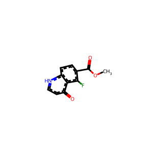 COC(=O)c1ccc2[nH]ccc(=O)c2c1F